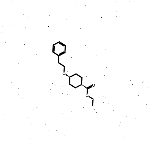 CCOC(=O)[C@H]1CC[C@@H](OCCc2ccccc2)CC1